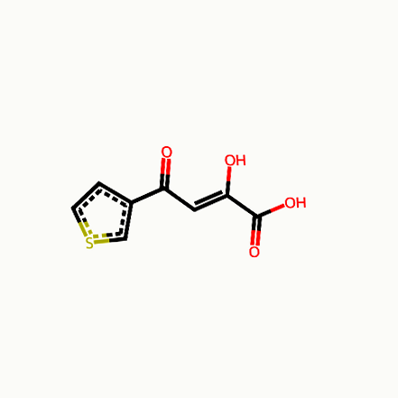 O=C(O)C(O)=CC(=O)c1ccsc1